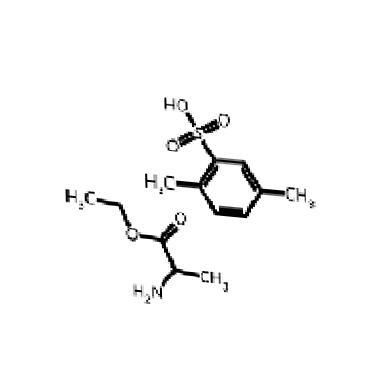 CCOC(=O)C(C)N.Cc1ccc(C)c(S(=O)(=O)O)c1